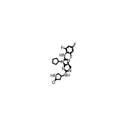 O=C1CC(Nc2ncc3nc(Nc4c(F)cc(F)cc4F)n(C4CCCC4)c3n2)CN1